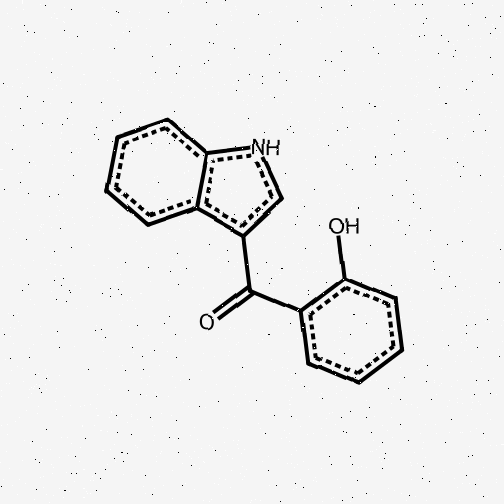 O=C(c1ccccc1O)c1c[nH]c2ccccc12